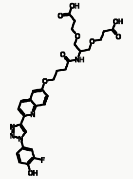 O=C(O)CCOCC(COCCC(=O)O)NC(=O)CCCOc1ccc2nc(-c3cn(-c4ccc(O)c(F)c4)nn3)ccc2c1